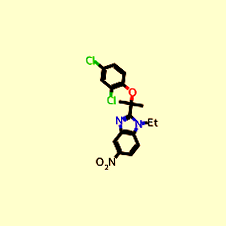 CCn1c(C(C)(C)Oc2ccc(Cl)cc2Cl)nc2cc([N+](=O)[O-])ccc21